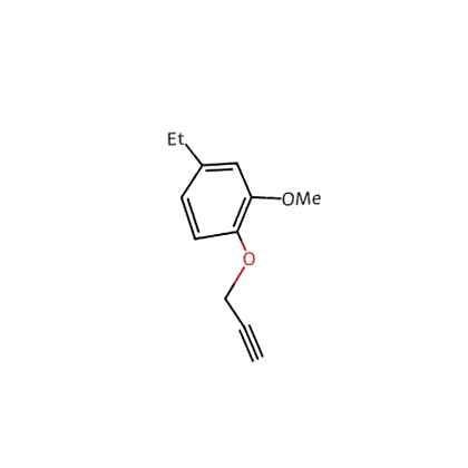 C#CCOc1ccc(C[CH2])cc1OC